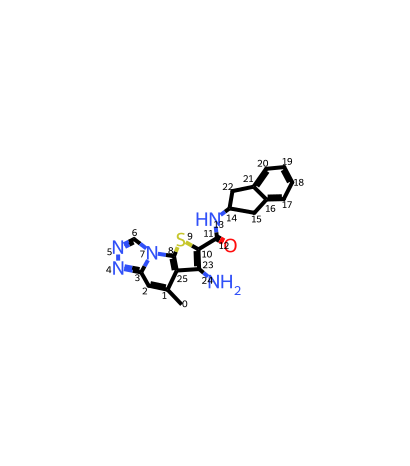 Cc1cc2nncn2c2sc(C(=O)NC3Cc4ccccc4C3)c(N)c12